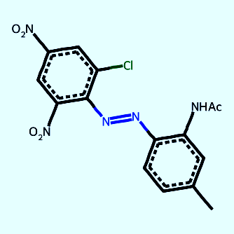 CC(=O)Nc1cc(C)ccc1N=Nc1c(Cl)cc([N+](=O)[O-])cc1[N+](=O)[O-]